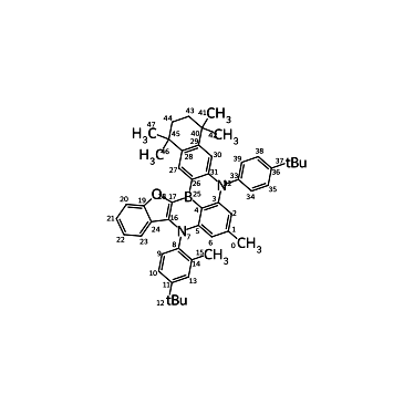 Cc1cc2c3c(c1)N(c1ccc(C(C)(C)C)cc1C)c1c(oc4ccccc14)B3c1cc3c(cc1N2c1ccc(C(C)(C)C)cc1)C(C)(C)CCC3(C)C